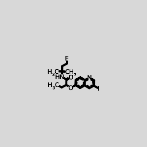 CCC(Oc1ccc2ncc(I)cc2c1)C(=O)NC(C)(C)CCF